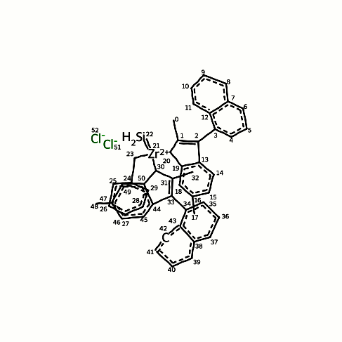 CC1=C(c2cccc3ccccc23)c2ccc(C)cc2[CH]1[Zr+2](=[SiH2])([CH2]c1ccccc1)[CH]1C(C)=C(c2cccc3ccccc23)c2ccc(C)cc21.[Cl-].[Cl-]